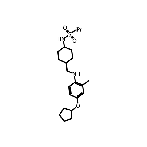 Cc1cc(OC2CCCC2)ccc1NCC1CCC(NS(=O)(=O)C(C)C)CC1